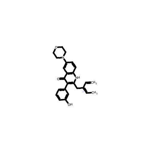 C=C/C(=C\C)Cc1[nH]c2ccc(N3CCOCC3)cc2c(=O)c1-c1cccc(O)c1